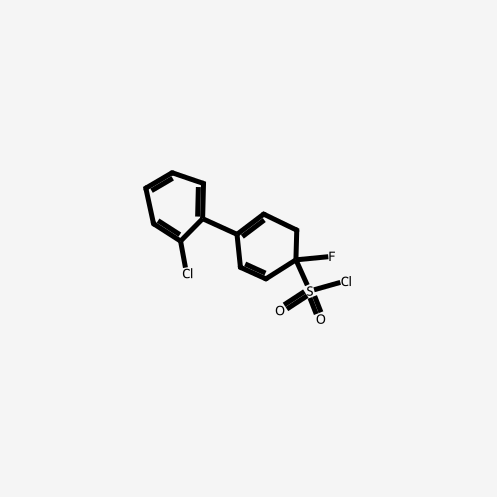 O=S(=O)(Cl)C1(F)C=CC(c2ccccc2Cl)=CC1